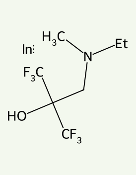 CCN(C)CC(O)(C(F)(F)F)C(F)(F)F.[In]